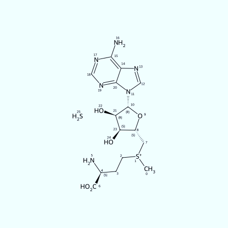 C[S+](CC[C@H](N)C(=O)O)C[C@H]1O[C@@H](n2cnc3c(N)ncnc32)[C@H](O)[C@@H]1O.S